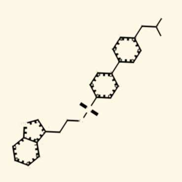 CC(C)Cc1ccc(-c2ccc(S(=O)(=O)NCCc3c[nH]c4ccccc34)cc2)cc1